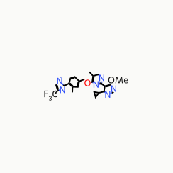 COc1ncnc(C2CC2)c1-c1ncc(C)c(OCc2ccc(-c3nc(C(F)(F)F)cn3C)c(C)c2)n1